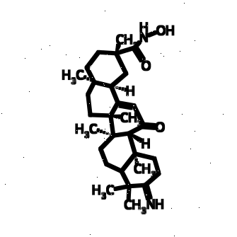 CC1(C)C(=N)CC[C@@]2(C)C1CC[C@]1(C)[C@@H]2C(=O)C=C2[C@@H]3C[C@@](C)(C(=O)NO)CC[C@]3(C)CC[C@]21C